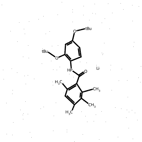 Cc1cc(C)c(C(=O)Pc2ccc(OC(C)(C)C)cc2OC(C)(C)C)c(C)c1C.[Li]